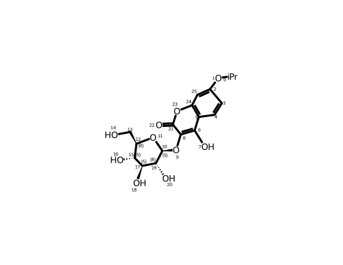 CC(C)Oc1ccc2c(O)c(O[C@@H]3O[C@H](CO)[C@@H](O)[C@H](O)[C@H]3O)c(=O)oc2c1